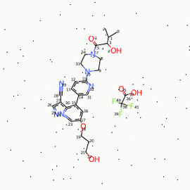 CC(C)C(O)C(=O)N1CCN(c2ccc(-c3cc(OCCCO)cn4ncc(C#N)c34)cn2)CC1.O=C(O)C(F)(F)F